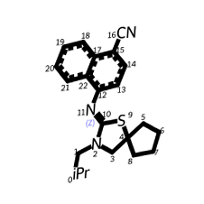 CC(C)CN1CC2(CCCC2)S/C1=N\c1ccc(C#N)c2ccccc12